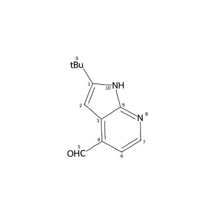 CC(C)(C)c1cc2c(C=O)ccnc2[nH]1